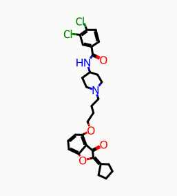 O=C(NC1CCN(CCCCOc2cccc3c2C(=O)C(=C2CCCC2)O3)CC1)c1ccc(Cl)c(Cl)c1